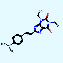 CCn1c(=O)c2[nH]c(/C=C/c3ccc(N(C)C)cc3)nc2n(CC)c1=O